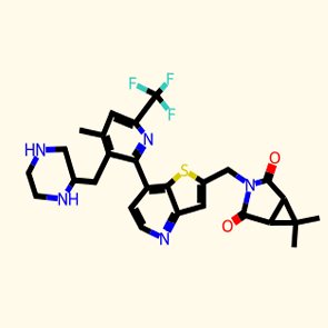 Cc1cc(C(F)(F)F)nc(-c2ccnc3cc(CN4C(=O)C5C(C4=O)C5(C)C)sc23)c1CC1CNCCN1